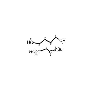 CCCCOCC(=O)O.OCCCCO